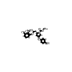 CC(C)c1ccc(O[C@@H]2C[C@@H](CC(O)Oc3cccc(Cl)c3C#N)N(C(=O)OC(C)(C)C)C2)cc1